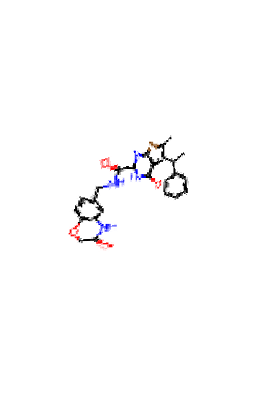 Cc1sc2nc(C(=O)NCc3ccc4c(c3)NC(=O)CO4)[nH]c(=O)c2c1C(C)c1ccccc1